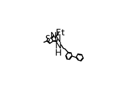 CCc1nc(NCCCc2cccc(-c3ccccc3)c2)c2cc(C)sc2n1